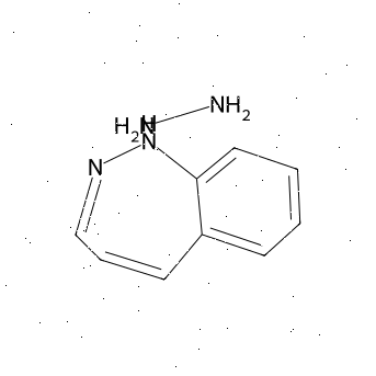 C1=Cc2ccccc2NN=C1.NN